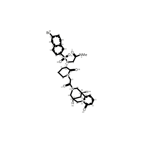 CNC(=O)CN([C@H]1CCCN(CC(=O)N2C[C@@H]3C[C@H](C2)c2cccc(=O)n2C3)C1=O)S(=O)(=O)c1ccc2cc(Br)ccc2c1